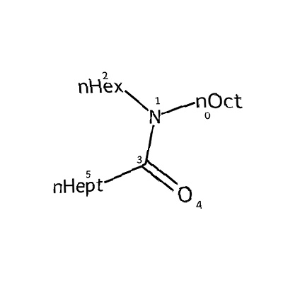 CCCCCCCCN(CCCCCC)C(=O)CCCCCCC